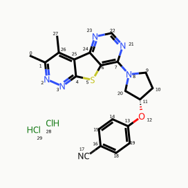 Cc1nnc2sc3c(N4CC[C@H](Oc5ccc(C#N)cc5)C4)ncnc3c2c1C.Cl.Cl